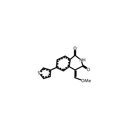 COC=C1C(=O)NC(=O)c2ccc(-c3ccsc3)cc21